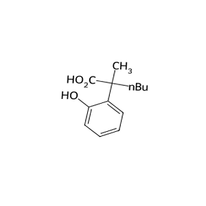 CCCCC(C)(C(=O)O)c1ccccc1O